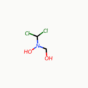 OCN(O)C(Cl)Cl